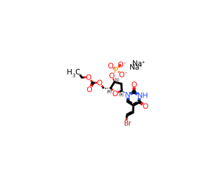 CCOC(=O)OC[C@H]1O[C@@H](n2cc(C=CBr)c(=O)[nH]c2=O)C[C@@H]1OP(=O)([O-])[O-].[Na+].[Na+]